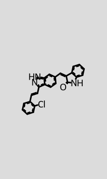 O=C1Nc2ccccc2C1=Cc1ccc2c(C=Cc3ccccc3Cl)n[nH]c2c1